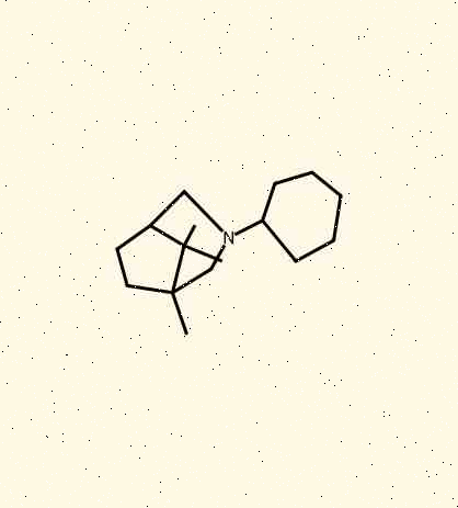 CC12CCC(CN(C3CCCCC3)C1)C2(C)C